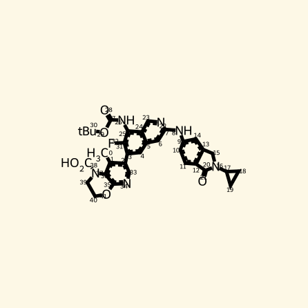 Cc1c(-c2cc3cc(Nc4ccc5c(c4)CN(C4CC4)C5=O)ncc3c(NC(=O)OC(C)(C)C)c2F)cnc2c1N(C(=O)O)CCO2